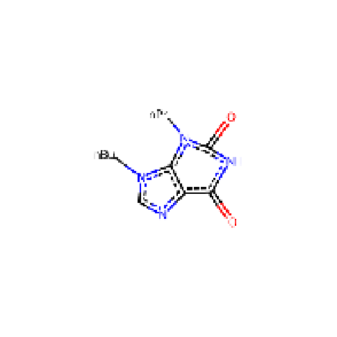 CCCCn1cnc2c(=O)[nH]c(=O)n(CCC)c21